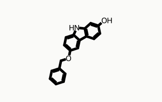 Oc1ccc2c(c1)[nH]c1ccc(OCc3ccccc3)cc12